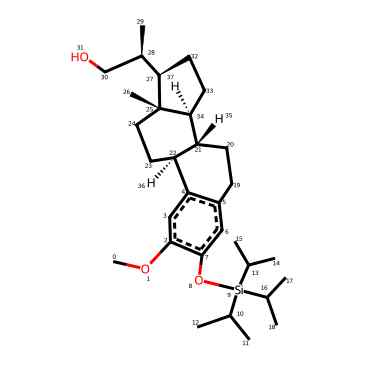 COc1cc2c(cc1O[Si](C(C)C)(C(C)C)C(C)C)CC[C@@H]1[C@@H]2CC[C@]2(C)[C@@H]([C@H](C)CO)CC[C@@H]12